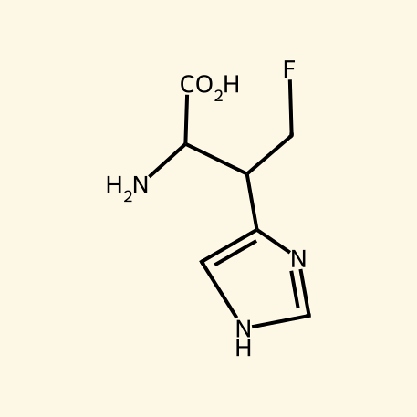 NC(C(=O)O)C(CF)c1c[nH]cn1